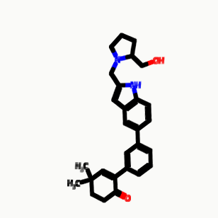 CC1(C)C=C(c2cccc(-c3ccc4[nH]c(CN5CCCC5CO)cc4c3)c2)C(=O)CC1